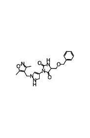 Cc1noc(C)c1CN1C=C(N2C(=O)NC(COCc3ccccc3)C2=O)CN1